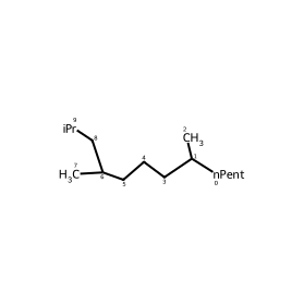 CCCCCC(C)CCCC(C)CC(C)C